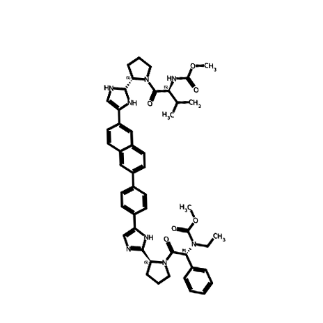 CCN(C(=O)OC)[C@@H](C(=O)N1CCC[C@H]1c1ncc(-c2ccc(-c3ccc4cc(C5=CNC([C@@H]6CCCN6C(=O)[C@@H](NC(=O)OC)C(C)C)N5)ccc4c3)cc2)[nH]1)c1ccccc1